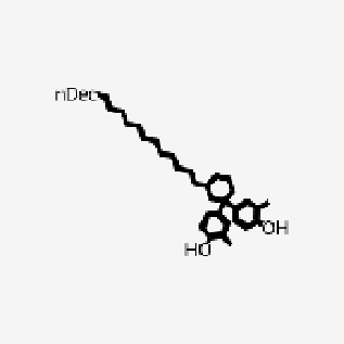 CCCCCCCCCCCCCCCCCCCCCCC1CCCC(c2ccc(O)c(C)c2)(c2ccc(O)c(C)c2)C1